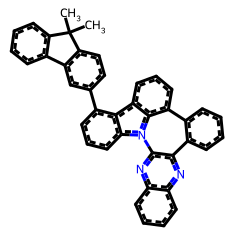 CC1(C)c2ccccc2-c2cc(-c3cccc4c3c3cccc5c3n4-c3nc4ccccc4nc3-c3ccccc3-5)ccc21